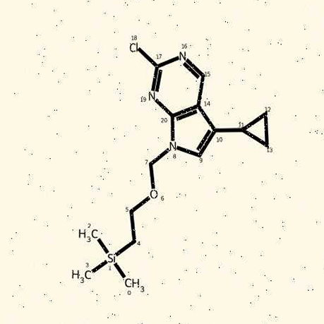 C[Si](C)(C)CCOCn1cc(C2CC2)c2cnc(Cl)nc21